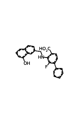 O=C(O)c1ccc(-c2ccccc2)c(F)c1NCc1ccc2cccc(O)c2c1